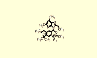 C=CCc1cc(C(O[SiH](C)C)n2c(CC)nc3c(C)cc(C)nc32)ccc1C(C)(C)C